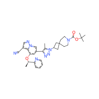 Cc1c(-c2cc(O[C@H](C)c3ccccn3)c3c(C#N)cnn3c2)nnn1C1CC2(CCN(C(=O)OC(C)(C)C)CC2)C1